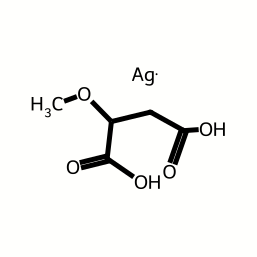 COC(CC(=O)O)C(=O)O.[Ag]